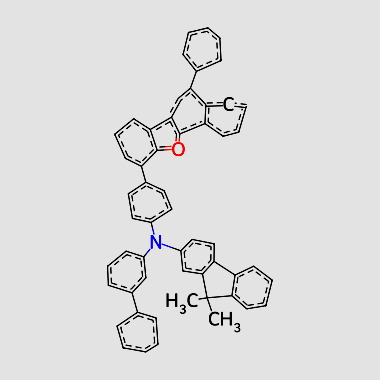 CC1(C)c2ccccc2-c2ccc(N(c3ccc(-c4cccc5c4oc4c6ccccc6c(-c6ccccc6)cc54)cc3)c3cccc(-c4ccccc4)c3)cc21